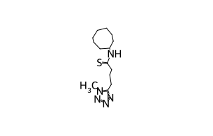 Cn1nnnc1CCCC(=S)NC1CCCCCCC1